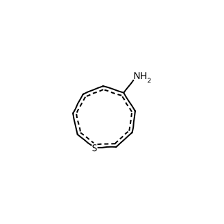 Nc1ccccsccc1